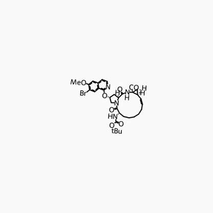 COc1cc2ccnc(O[C@@H]3C[C@H]4C(=O)N[C@]5(C(=O)O)C[C@H]5C=CCCCCC[C@H](NC(=O)OC(C)(C)C)C(=O)N4C3)c2cc1Br